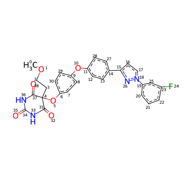 COCCC1(Oc2ccc(Oc3ccc(-c4ccn(-c5cccc(F)c5)n4)cc3)cc2)C(=O)NC(=O)NC1=O